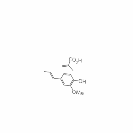 C=C(C)C(=O)O.CC=Cc1ccc(O)c(OC)c1